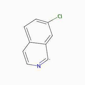 Clc1ccc2ccn[c]c2c1